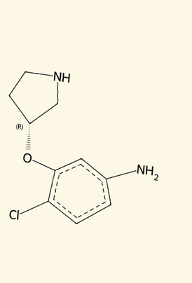 Nc1ccc(Cl)c(O[C@@H]2CCNC2)c1